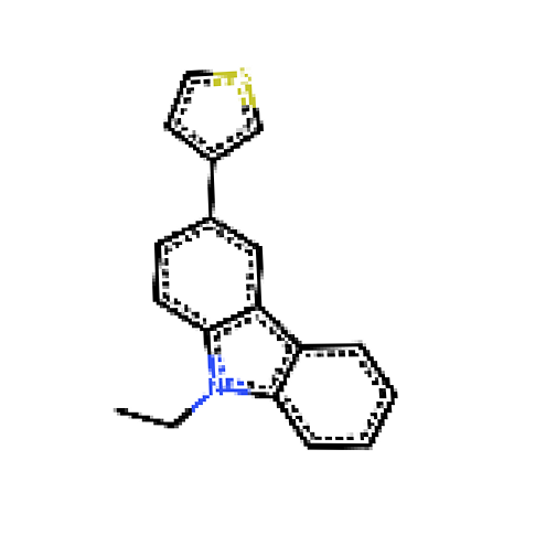 CCn1c2ccccc2c2cc(-c3ccsc3)ccc21